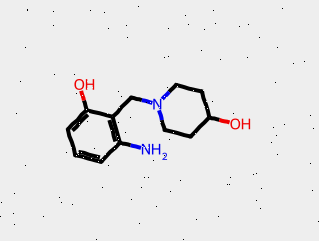 Nc1cccc(O)c1CN1CCC(O)CC1